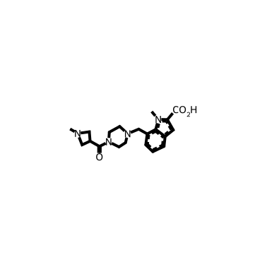 CN1CC(C(=O)N2CCN(Cc3cccc4cc(C(=O)O)n(C)c34)CC2)C1